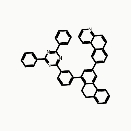 c1ccc(-c2nc(-c3ccccc3)nc(-c3cccc(-c4cc(-c5ccc6ccc7ncccc7c6c5)cc5c4CCc4ccccc4-5)c3)n2)cc1